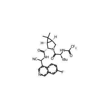 CC(C)(C)[C@H](NC(=O)C(F)(F)F)C(=O)N1C[C@H]2[C@@H]([C@H]1C(=O)NC(C#N)c1cncc3cc(F)ccc13)C2(C)C